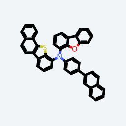 c1ccc2cc(-c3ccc(N(c4cccc5c4oc4ccccc45)c4cccc5c4sc4c6ccccc6ccc54)cc3)ccc2c1